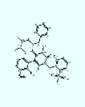 COc1cccc(-c2c(C)n(Cc3c(F)cccc3S(C)(=O)=O)c(=O)n(C[C@H](NCC(C)N(C)C)c3ccccc3)c2=O)c1F